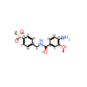 COc1cc(C(=O)NCc2ccc(S(C)(=O)=O)cc2)ccc1N